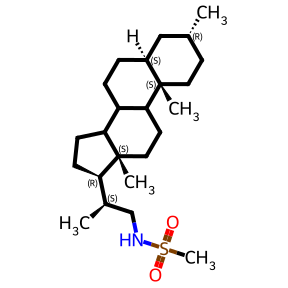 C[C@@H]1CC[C@]2(C)C3CC[C@@]4(C)C(CC[C@@H]4[C@H](C)CNS(C)(=O)=O)C3CC[C@H]2C1